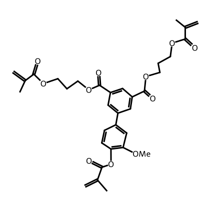 C=C(C)C(=O)OCCCOC(=O)c1cc(C(=O)OCCCOC(=O)C(=C)C)cc(-c2ccc(OC(=O)C(=C)C)c(OC)c2)c1